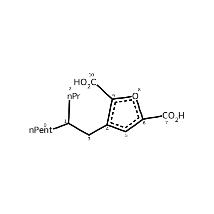 CCCCCC(CCC)Cc1cc(C(=O)O)oc1C(=O)O